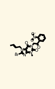 CC=CCn1c(Br)nc2c1c(=O)n(CC(=O)c1ccccc1[N+](=O)[O-])c(=O)n2C